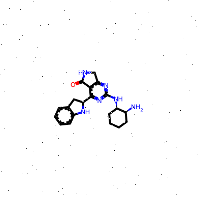 N[C@H]1CCCC[C@H]1Nc1nc2c(c(C3Cc4ccccc4N3)n1)C(=O)NC2